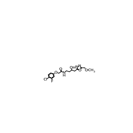 COCc1nnc(CC(O)CCNC(=O)COc2ccc(Cl)c(F)c2)o1